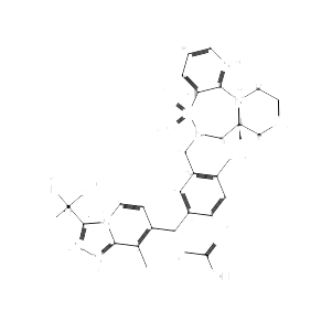 Cc1ccc([C@H](CC(=O)O)c2ccn3c(C(F)(F)F)nnc3c2C)cc1CN1C[C@H]2COCCN2c2ncccc2S1(=O)=O